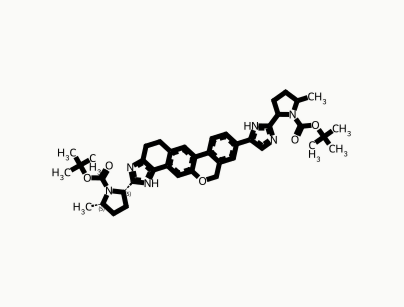 CC1CCC(c2ncc(-c3ccc4c(c3)COc3cc5c(cc3-4)CCc3nc([C@@H]4CC[C@H](C)N4C(=O)OC(C)(C)C)[nH]c3-5)[nH]2)N1C(=O)OC(C)(C)C